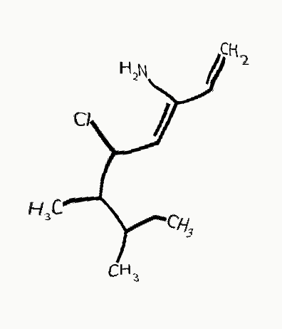 C=C/C(N)=C/C(Cl)C(C)C(C)C